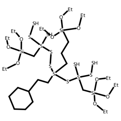 CCO[Si](CCCS(CCC1CCCCC1)(SSS(S)(C[Si](OCC)(OCC)OCC)SS)SS(S)(C[Si](OCC)(OCC)OCC)SS)(OCC)OCC